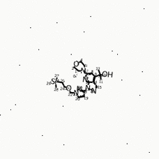 C[C@@H]1COCCN1c1cc(C(C)(C)O)c2cnn(-c3ccn(COCC[Si](C)(C)C)n3)c2n1